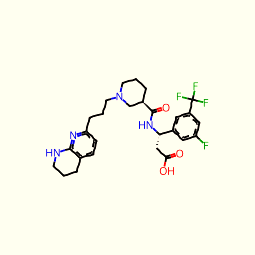 O=C(O)C[C@H](NC(=O)[C@@H]1CCCN(CCCc2ccc3c(n2)NCCC3)C1)c1cc(F)cc(C(F)(F)F)c1